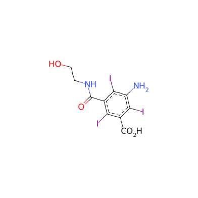 Nc1c(I)c(C(=O)O)c(I)c(C(=O)NCCO)c1I